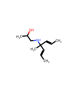 CC=CC(C)(C=CC)NCC(C)O